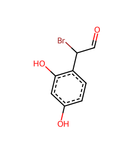 O=CC(Br)c1ccc(O)cc1O